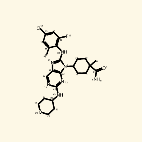 CC1(C(N)=O)CCC(n2c(Nc3c(F)cc(Cl)cc3F)nc3cnc(NC4CCOCC4)nc32)CC1